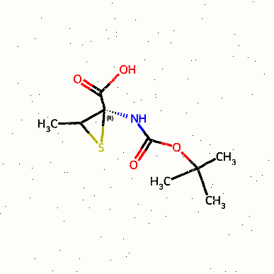 CC1S[C@]1(NC(=O)OC(C)(C)C)C(=O)O